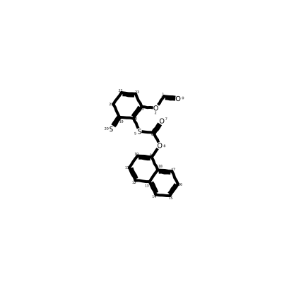 O=[C]OC1=C(SC(=O)Oc2cccc3ccccc23)C(=S)CC=C1